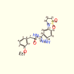 CCOc1cccc(CC(=O)Nc2n[nH]c3ccc(N4CCCS4(=O)=O)cc23)c1